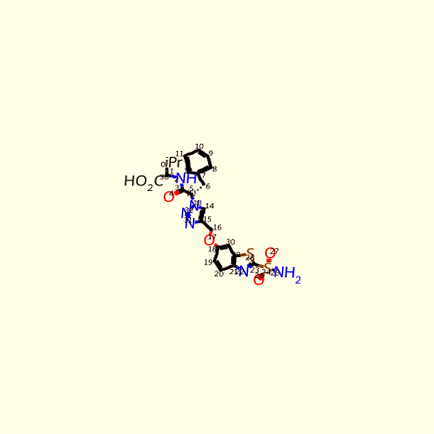 CC(C)C(NC(=O)[C@H](Cc1ccccc1)n1cc(COc2ccc3nc(S(N)(=O)=O)sc3c2)nn1)C(=O)O